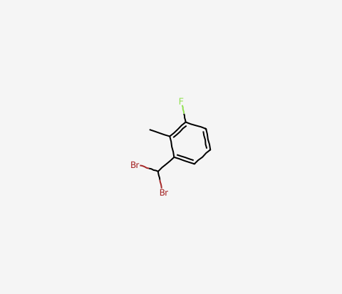 Cc1c(F)cccc1C(Br)Br